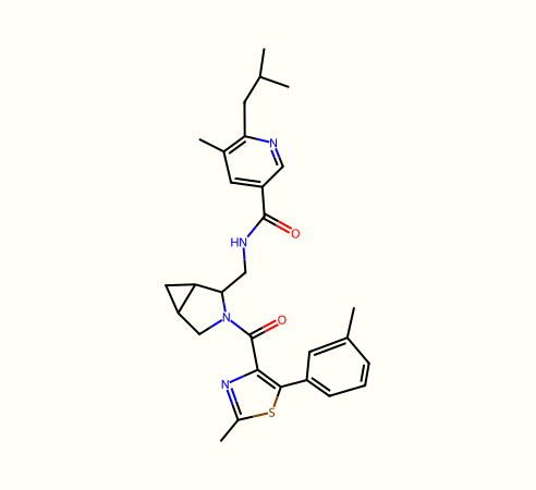 Cc1cccc(-c2sc(C)nc2C(=O)N2CC3CC3C2CNC(=O)c2cnc(CC(C)C)c(C)c2)c1